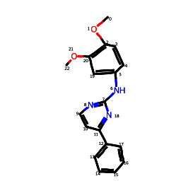 COc1ccc(Nc2nccc(-c3c[c]ccc3)n2)cc1OC